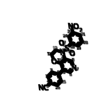 N#Cc1ccc(-c2cncc3c2OCCN3S(=O)(=O)c2cccc([N+](=O)[O-])c2)cc1